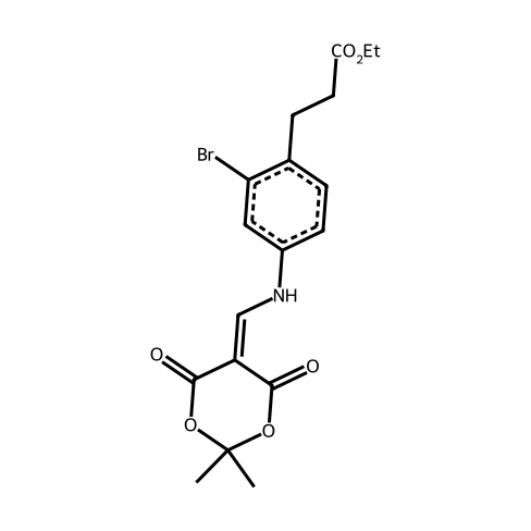 CCOC(=O)CCc1ccc(NC=C2C(=O)OC(C)(C)OC2=O)cc1Br